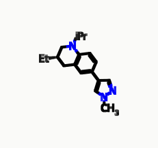 CC[C@@H]1Cc2cc(-c3cnn(C)c3)ccc2N(C(C)C)C1